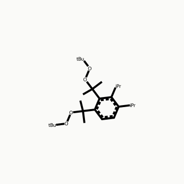 CC(C)c1ccc(C(C)(C)OOC(C)(C)C)c(C(C)(C)OOC(C)(C)C)c1C(C)C